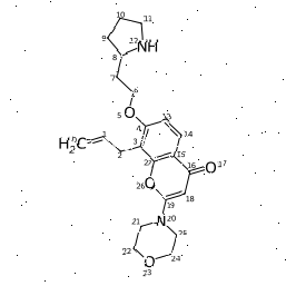 C=CCc1c(OCCC2CCCN2)ccc2c(=O)cc(N3CCOCC3)oc12